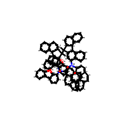 CC(C)(C)C1(C2(C(C)(C)C)c3ccc4ccccc4c3-c3c2cc(N(c2ccc4ccc5cccc6ccc2c4c56)c2cccc4c2oc2ccccc24)c2ccccc32)c2ccc3ccccc3c2-c2c1cc(N(C1=CC=C3C=Cc4cccc5c4C3C1C=C5)c1cccc3c1oc1ccccc13)c1ccccc21